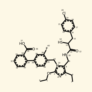 CCOc1nc(CC)c(CNC(=O)C(S)Cc2ccc(Cl)cc2)n1Cc1ccc(-c2ccccc2C(=O)O)cc1F